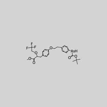 COC(=O)C(Cc1ccc(OCCc2ccc([AsH]C(=O)OC(C)(C)C)cc2)cc1)OCC(F)(F)F